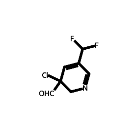 O=CC1(Cl)C=C(C(F)F)C=NC1